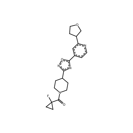 O=C(N1CCC(c2noc(-c3ccnc(C4CCOC4)c3)n2)CC1)C1(F)CC1